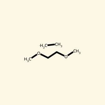 COCCOC.[CH2]C